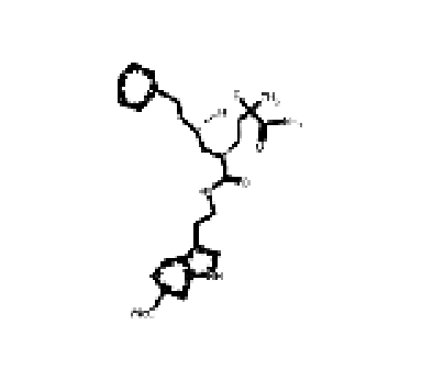 COc1ccc2c(CCNC(=O)[C@H](CCC(C)(F)C(N)=O)C[C@@H](O)[CH]Cc3ccccc3)c[nH]c2c1